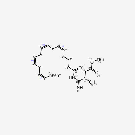 CCCCC/C=C\C/C=C\C/C=C\C/C=C\CCCC(=O)NC(=N)N(C)CC(=O)OC(C)(C)C